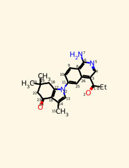 CCC(=O)c1cnc(N)c2ccc(-n3cc(C)c4c3CC(C)(C)CC4=O)cc12